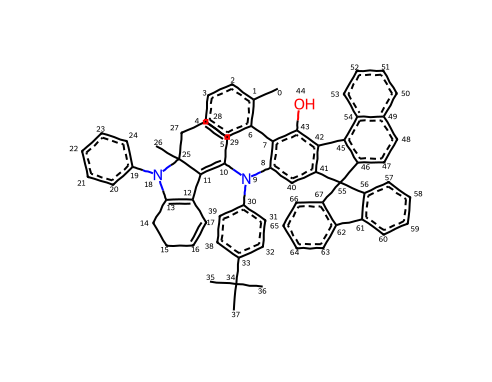 Cc1ccccc1-c1c(N(C2=C3C4=C(CCC=C4)N(c4ccccc4)C3(C)CC=C2)c2ccc(C(C)(C)C)cc2)cc2c(c1O)-c1c(ccc3ccccc13)C21c2ccccc2-c2ccccc21